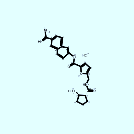 Cl.N=C(N)c1ccc2cc(OC(=O)c3ccc(CNC(=O)[C@@H]4CCC[C@H]4C(=O)O)o3)ccc2c1